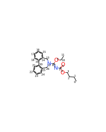 CCCCOC(=O)N=C(OCC)N1Cc2ccccc2-c2ccccc2C1